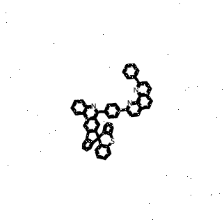 c1ccc(-c2ccc3ccc4ccc(-c5ccc(-c6nc7ccccc7c7cc8c(cc67)C6(c7ccccc7Sc7ccccc76)c6ccccc6-8)cc5)nc4c3n2)cc1